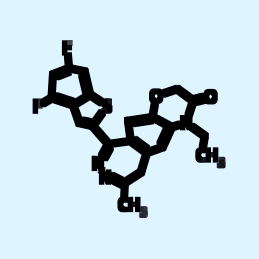 CCN1C(=O)COc2cc3c(cc21)CC(C)=NN=C3c1cc2c(F)cc(F)cc2s1